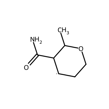 CC1OCC[CH]C1C(N)=O